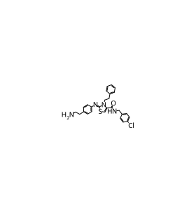 NCCc1ccc(/N=c2\scc(C(=O)NCc3ccc(Cl)cc3)n2CCc2ccccc2)cc1